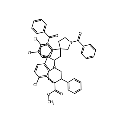 COC(=O)C1CCN(C(CC2(c3ccc(Cl)c(Cl)c3)CCN(C(=O)c3ccccc3)C2)C2(c3ccc(Cl)c(Cl)c3)CCN(C(=O)c3ccccc3)C2)CC1c1ccccc1